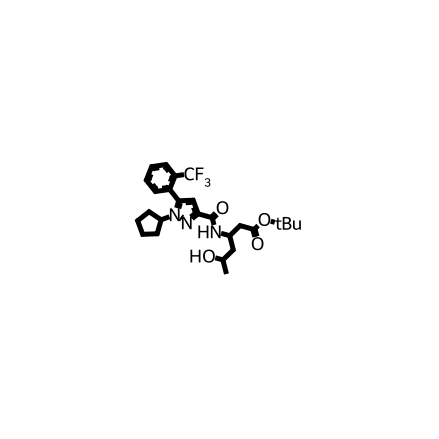 CC(O)CC(CC(=O)OC(C)(C)C)NC(=O)c1cc(-c2ccccc2C(F)(F)F)n(C2CCCC2)n1